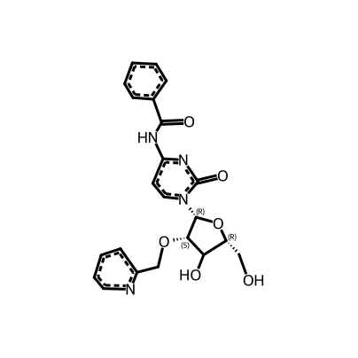 O=C(Nc1ccn([C@@H]2O[C@H](CO)C(O)[C@@H]2OCc2ccccn2)c(=O)n1)c1ccccc1